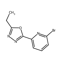 CCc1nnc(-c2cccc(Br)n2)o1